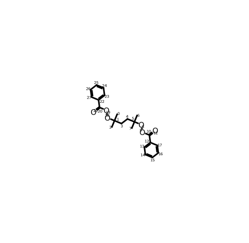 CC(C)(CCC(C)(C)OOC(=O)c1ccccc1)OOC(=O)c1ccccc1